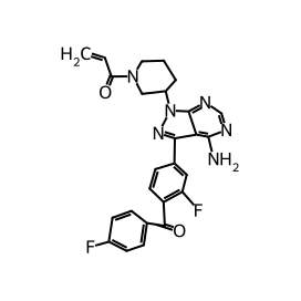 C=CC(=O)N1CCCC(n2nc(-c3ccc(C(=O)c4ccc(F)cc4)c(F)c3)c3c(N)ncnc32)C1